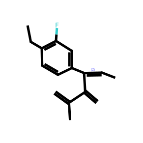 C=C(C)C(=C)/C(=C\C)c1ccc(CC)c(F)c1